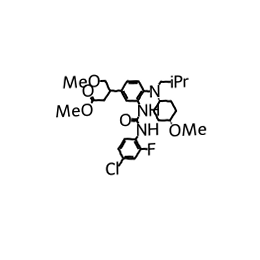 COCC(CC(=O)OC)c1ccc(N(CC(C)C)[C@H]2CC[C@@H](OC)CC2)c(NC(=O)Nc2ccc(Cl)cc2F)c1